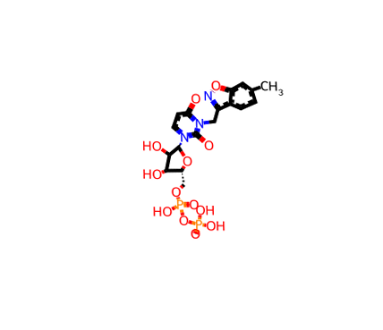 Cc1ccc2c(Cn3c(=O)ccn([C@@H]4O[C@H](COP(=O)(O)OP(=O)(O)O)C(O)C4O)c3=O)noc2c1